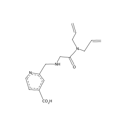 C=CCN(CC=C)C(=O)CNCc1cc(C(=O)O)ccn1